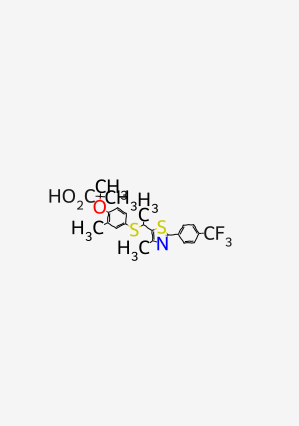 Cc1cc(SC(C)c2sc(-c3ccc(C(F)(F)F)cc3)nc2C)ccc1OC(C)(C)C(=O)O